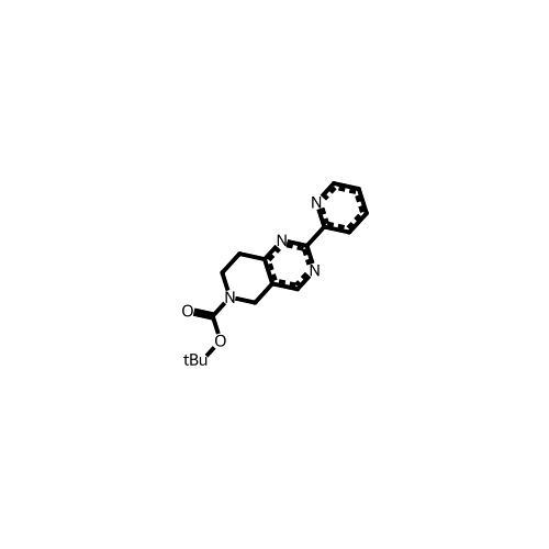 CC(C)(C)OC(=O)N1CCc2nc(-c3ccccn3)ncc2C1